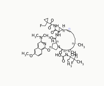 COc1ccc2c(O[C@@H]3C[C@H]4C(=O)N[C@]5(C(=O)NS(=O)(=O)C6(CF)CC6)C[C@H]5/C=C\CC[C@H](C)C[C@@H](C)[C@H](N(C(=O)O)C(C)(C)C(C)(F)F)C(=O)N4C3)nc(N(C)C)cc2c1